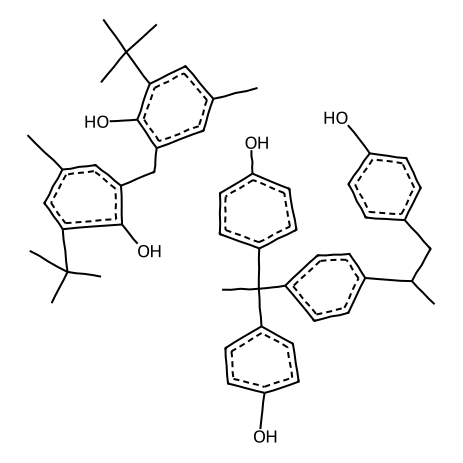 CC(Cc1ccc(O)cc1)c1ccc(C(C)(c2ccc(O)cc2)c2ccc(O)cc2)cc1.Cc1cc(Cc2cc(C)cc(C(C)(C)C)c2O)c(O)c(C(C)(C)C)c1